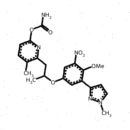 COc1c(-c2ccn(C)n2)cc(OC(C)Cc2nc(OC(N)=O)ccc2C)cc1[N+](=O)[O-]